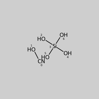 N#CO.O[Si](O)(O)O